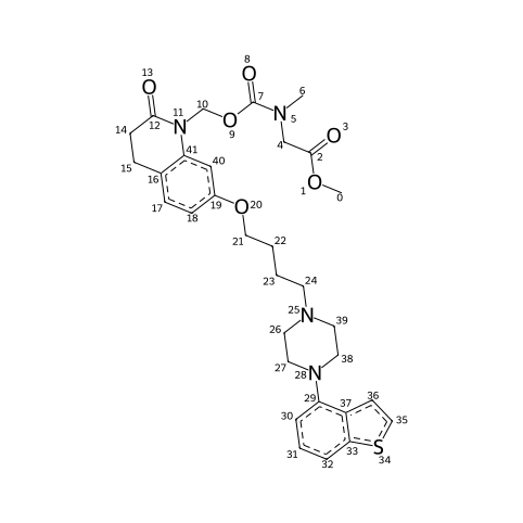 COC(=O)CN(C)C(=O)OCN1C(=O)CCc2ccc(OCCCCN3CCN(c4cccc5sccc45)CC3)cc21